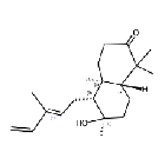 C=C/C(C)=C/C[C@@H]1[C@@]2(C)CCC(=O)C(C)(C)[C@@H]2CC[C@@]1(C)O